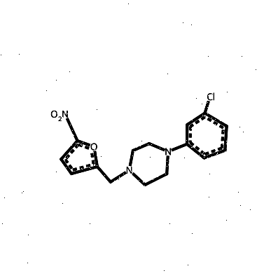 O=[N+]([O-])c1ccc(CN2CCN(c3cccc(Cl)c3)CC2)o1